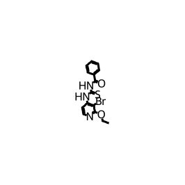 CCOc1nccc(NC(=S)NC(=O)c2ccccc2)c1Br